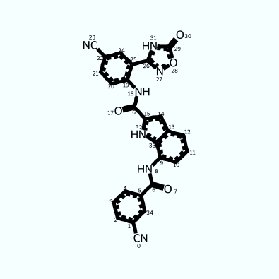 N#Cc1cccc(C(=O)Nc2cccc3cc(C(=O)Nc4ccc(C#N)cc4-c4noc(=O)[nH]4)[nH]c23)c1